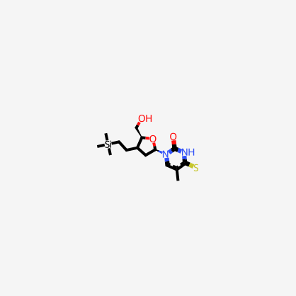 Cc1cn([C@H]2CC(CC[Si](C)(C)C)[C@@H](CO)O2)c(=O)[nH]c1=S